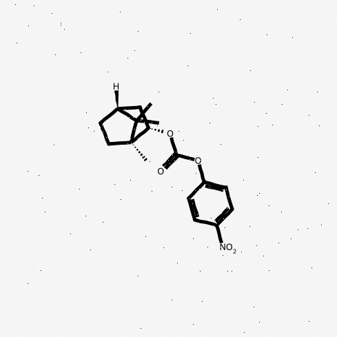 CC1(C)[C@@H]2CC[C@]1(C)[C@@H](OC(=O)Oc1ccc([N+](=O)[O-])cc1)C2